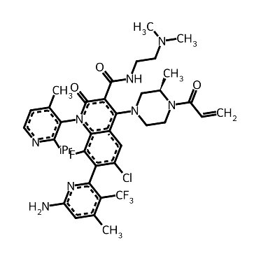 C=CC(=O)N1CCN(c2c(C(=O)NCCN(C)C)c(=O)n(-c3c(C)ccnc3C(C)C)c3c(F)c(-c4nc(N)cc(C)c4C(F)(F)F)c(Cl)cc23)C[C@H]1C